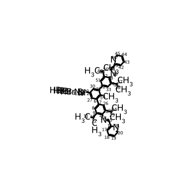 Br.Br.Br.Br.Cc1c(-c2cc(C(C)C)c(N=Cc3ccccn3)c(C(C)C)c2)cc(Br)cc1-c1cc(C(C)C)c(N=Cc2ccccn2)c(C(C)C)c1.[Ni].[Ni]